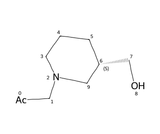 CC(=O)CN1CCC[C@H](CO)C1